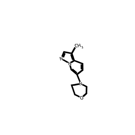 Cc1cnn2cc(N3CCOCC3)ccc12